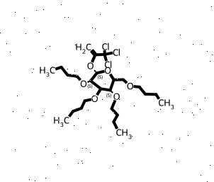 C=C(O[C@@H]1OC(COCCCC)[C@H](OCCCC)C(OCCCC)[C@@H]1OCCCC)C(Cl)(Cl)Cl